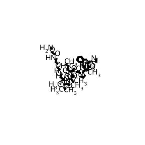 CCC[C@H](C)[C@@H]([C@@H](CC(=O)N1CCC[C@H]1[C@H](OC)[C@@H](C)C(=O)N[C@@H](Cc1ccccc1)c1nccs1)OC)N(C)C(=O)[C@@H](NC(=O)[C@H](C(C)C)N(C)C(=O)CCOCCOCCNC(=O)CON)C(C)C